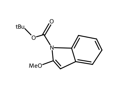 COc1cc2ccccc2n1C(=O)OC(C)(C)C